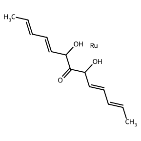 C/C=C/C=C/C(O)C(=O)C(O)/C=C/C=C/C.[Ru]